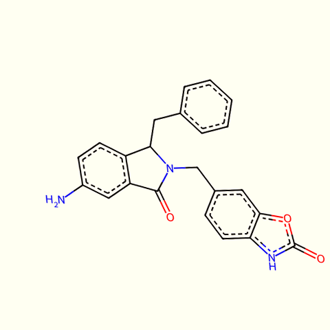 Nc1ccc2c(c1)C(=O)N(Cc1ccc3[nH]c(=O)oc3c1)C2Cc1ccccc1